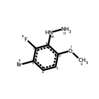 COc1ccc(Br)c(F)c1NN